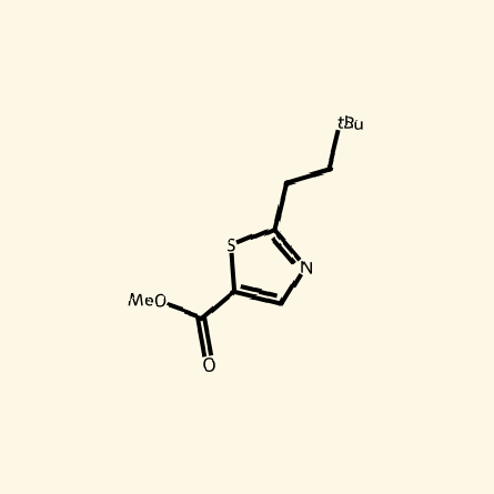 COC(=O)c1cnc(CCC(C)(C)C)s1